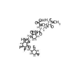 CN(C)C(=O)/C=C/CC[C@@H](CN(C)C(=O)O)C(=O)Nc1cccn(Cc2nc3c(OCc4ccc(F)cc4F)c(F)c(F)cc3[nH]2)c1=O